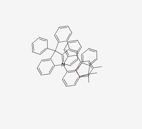 Cc1cccc(-c2ccccc2N(c2ccccc2C2(c3ccccc3)c3ccccc3-c3ccccc32)c2cccc3c2-c2ccccc2C3(C)C)c1